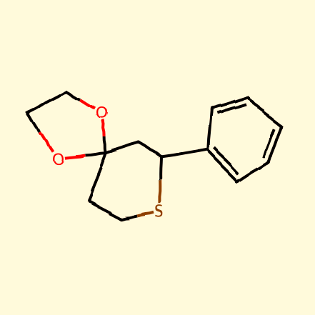 c1ccc(C2CC3(CCS2)OCCO3)cc1